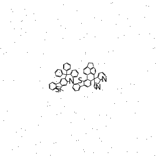 C[Si]1(C)c2ccccc2-c2cc3c(cc21)N(c1cccc2c1sc1c4c(ccc12)C1(c2cccnc2-c2ncccc21)c1ccc2c5c(ccc-4c15)CC2)c1ccccc1C3(c1ccccc1)c1ccccc1